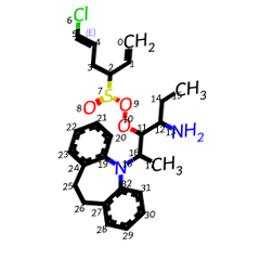 C=CC(C/C=C/Cl)S(=O)OOC(C(N)CC)C(C)N1c2ccccc2CCc2ccccc21